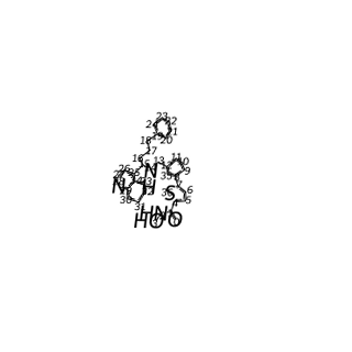 O=C(NO)c1ccc(-c2cccc(CNC(CCCc3ccccc3)c3ccnc4ccccc34)c2)s1